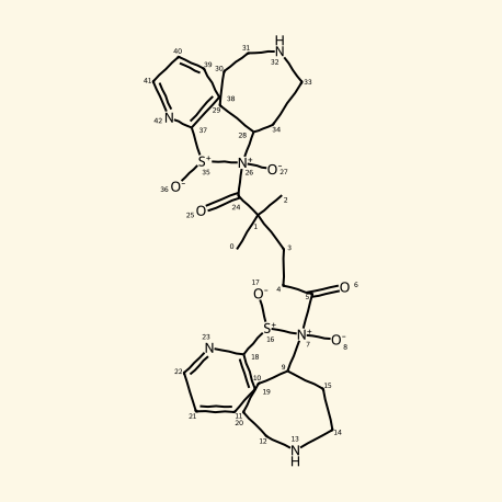 CC(C)(CCC(=O)[N+]([O-])(C1CCCNCC1)[S+]([O-])c1ccccn1)C(=O)[N+]([O-])(C1CCCNCC1)[S+]([O-])c1ccccn1